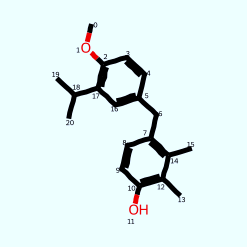 COc1ccc(Cc2ccc(O)c(C)c2C)cc1C(C)C